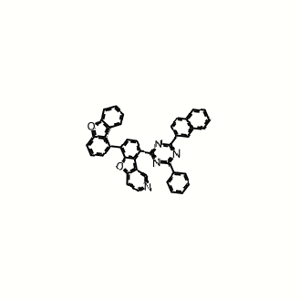 c1ccc(-c2nc(-c3ccc4ccccc4c3)nc(-c3ccc(-c4cccc5oc6ccccc6c45)c4oc5ccncc5c34)n2)cc1